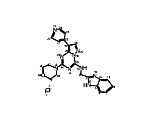 [Cl-].[H+].c1ccc2[nH]c(CNc3nc(N4CCOCC4)nc4c(-c5ccncc5)cnn34)nc2c1